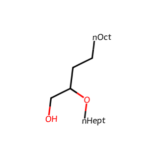 CCCCCCCCCCC(CO)OCCCCCCC